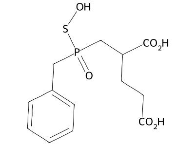 O=C(O)CCC(CP(=O)(Cc1ccccc1)SO)C(=O)O